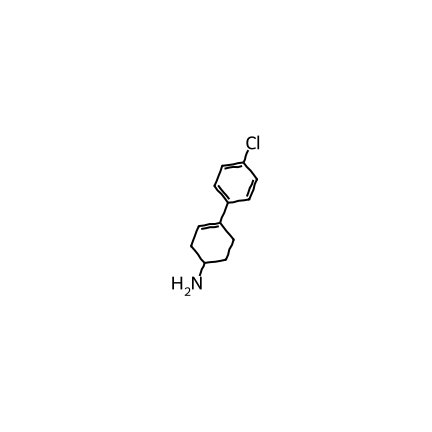 NC1CC=C(c2ccc(Cl)cc2)CC1